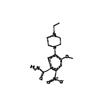 CCN1CCN(c2cc(C(N)=O)c([N+](=O)[O-])cc2OC)CC1